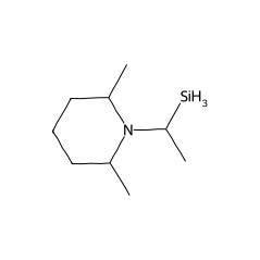 CC([SiH3])N1C(C)CCCC1C